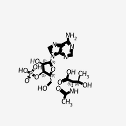 CC(=O)N[C@H](C(=O)O)[C@@H](C)O.Nc1ncnc2c1ncn2[C@@H]1O[C@H](CO)[C@@H](OP(=O)(O)O)[C@H]1O